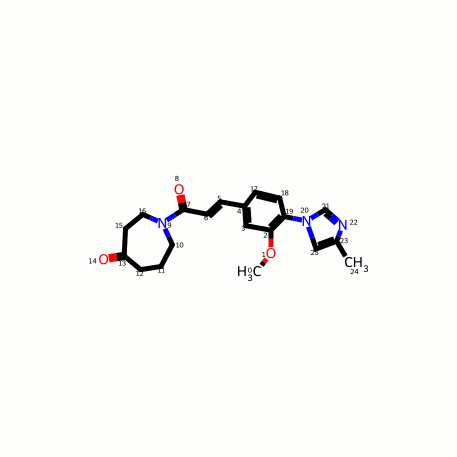 COc1cc(C=CC(=O)N2CCCC(=O)CC2)ccc1-n1cnc(C)c1